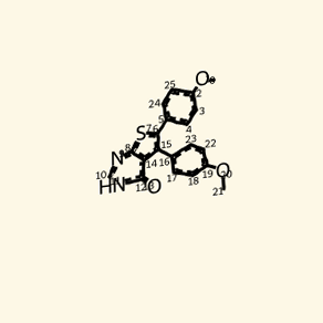 COc1ccc(-c2sc3nc[nH]c(=O)c3c2-c2ccc(OC)cc2)cc1